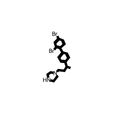 CC(CCN1CCNCC1)c1ccc(-c2ccc(Br)cc2Br)cc1